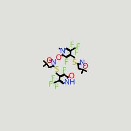 CC1(C)CC(SCc2c(C(F)(F)F)c[nH]c(=O)c2F)=NO1.Cn1cc(C(F)(F)F)c(CSC2=NOC(C)(C)C2)c(F)c1=O